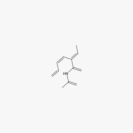 C=C/C=C\C(=C/C)C(=C)NC(=C)C